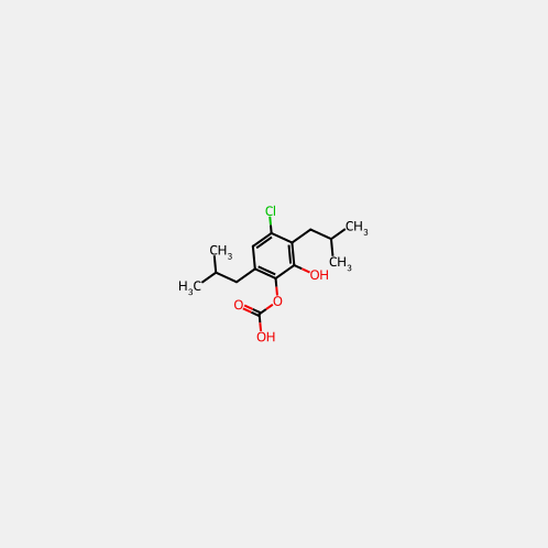 CC(C)Cc1cc(Cl)c(CC(C)C)c(O)c1OC(=O)O